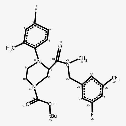 Cc1cc(F)ccc1N1CCN(C(=O)OC(C)(C)C)CC1C(=O)N(C)Cc1cc(F)cc(C(F)(F)F)c1